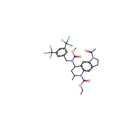 CCOC(=O)N1c2cc3c(cc2C(N(Cc2cc(C(F)(F)F)cc(C(F)(F)F)c2)C(=O)OC)CC1C)N(C(C)=O)CC3